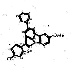 COc1ccc2c(c1)c1cc(-c3ccccc3)cc3c4c5ccc(Cl)cc5sc4n2c13